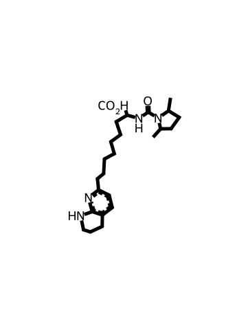 CC1CCC(C)N1C(=O)NC(CCCCCCCc1ccc2c(n1)NCCC2)C(=O)O